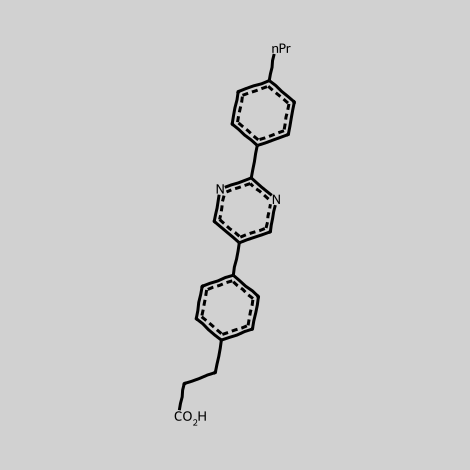 CCCc1ccc(-c2ncc(-c3ccc(CCC(=O)O)cc3)cn2)cc1